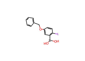 OB(O)c1cc(OCc2ccccc2)ccc1I